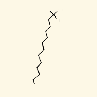 [CH2]C(C)(O)CCCCCCCCCCCC